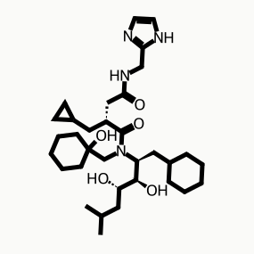 CC(C)C[C@H](O)[C@H](O)[C@H](CC1CCCCC1)N(CC1(O)CCCCC1)C(=O)[C@@H](CC(=O)NCc1ncc[nH]1)CC1CC1